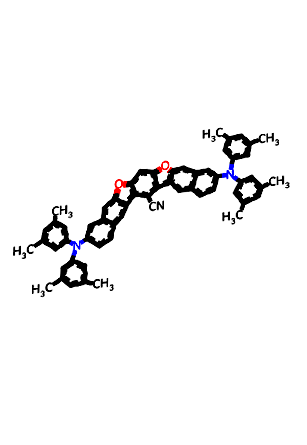 Cc1cc(C)cc(N(c2cc(C)cc(C)c2)c2ccc3cc4c(cc3c2)oc2cc3oc5cc6cc(N(c7cc(C)cc(C)c7)c7cc(C)cc(C)c7)ccc6cc5c3c(C#N)c24)c1